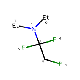 CCN(CC)C(F)(F)CF